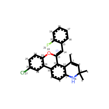 CC1=CC(C)(C)Nc2ccc3c(c21)/C(=C/c1ccccc1F)Oc1ccc(Cl)cc1-3